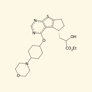 CCOC(=O)C(O)C[C@H]1CCc2sc3ncnc(OC4CCC(N5CCOCC5)CC4)c3c21